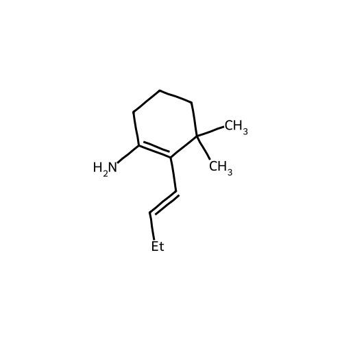 CC/C=C/C1=C(N)CCCC1(C)C